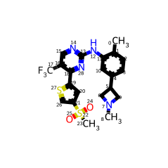 Cc1ccc(C2CN(C)C2)cc1Nc1ncc(C(F)(F)F)c(-c2cc(S(C)(=O)=O)cs2)n1